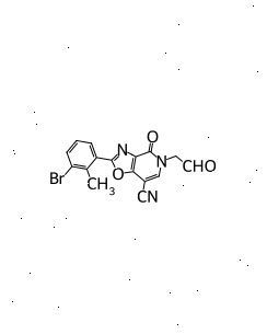 Cc1c(Br)cccc1-c1nc2c(=O)n(CC=O)cc(C#N)c2o1